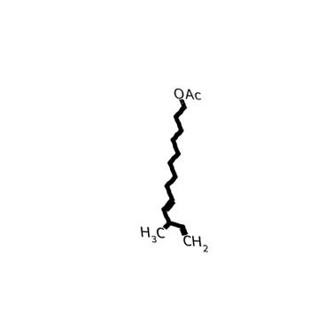 C=CC(C)C=CCCCCCCCCOC(C)=O